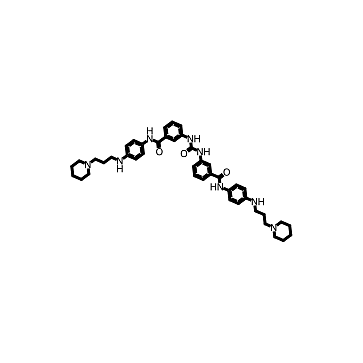 O=C(Nc1cccc(C(=O)Nc2ccc(NCCCN3CCCCC3)cc2)c1)Nc1cccc(C(=O)Nc2ccc(NCCCN3CCCCC3)cc2)c1